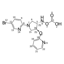 O=C(O)ON[C@H]1CN(c2ccc(Br)cn2)C[C@@H]1Oc1ccccn1